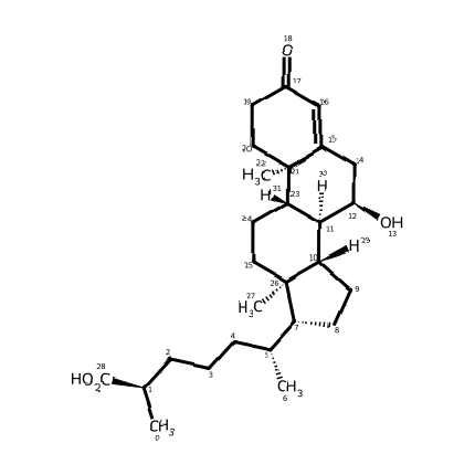 C[C@H](CCC[C@@H](C)[C@H]1CC[C@H]2[C@@H]3[C@H](O)CC4=CC(=O)CC[C@]4(C)[C@H]3CC[C@]12C)C(=O)O